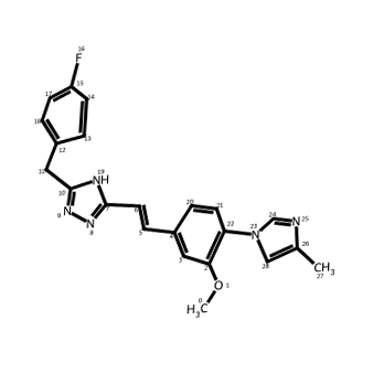 COc1cc(C=Cc2nnc(Cc3ccc(F)cc3)[nH]2)ccc1-n1cnc(C)c1